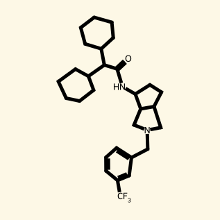 O=C(NC1CCC2CN(Cc3cccc(C(F)(F)F)c3)CC21)C(C1CCCCC1)C1CCCCC1